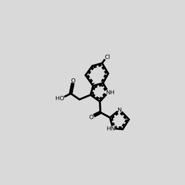 O=C(O)Cc1c(C(=O)c2ncc[nH]2)[nH]c2cc(Cl)ccc12